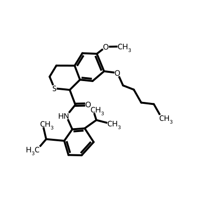 CCCCCOc1cc2c(cc1OC)CCSC2C(=O)Nc1c(C(C)C)cccc1C(C)C